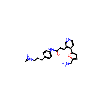 NCc1ccc(-c2ccncc2/C=C/C(=O)Nc2ccc(CCCN3C=N3)cc2)o1